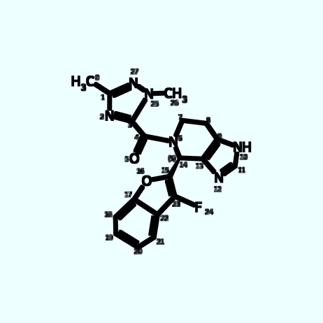 Cc1nc(C(=O)N2CCc3[nH]cnc3[C@H]2c2oc3ccccc3c2F)n(C)n1